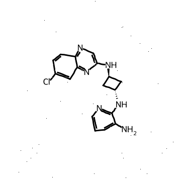 Nc1cccnc1N[C@H]1C[C@H](Nc2cnc3ccc(Cl)cc3n2)C1